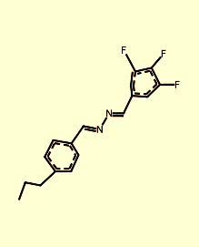 CCCc1ccc(/C=N/N=C/c2cc(F)c(F)c(F)c2)cc1